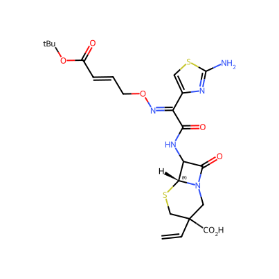 C=CC1(C(=O)O)CS[C@@H]2C(NC(=O)C(=NOCC=CC(=O)OC(C)(C)C)c3csc(N)n3)C(=O)N2C1